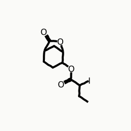 CCC(I)C(=O)OC1CCC2CC1OC2=O